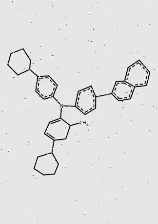 CC1CC(C2CCCCC2)=CC=C1N(c1ccc(-c2ccc3ccccc3c2)cc1)c1ccc(C2CCCCC2)cc1